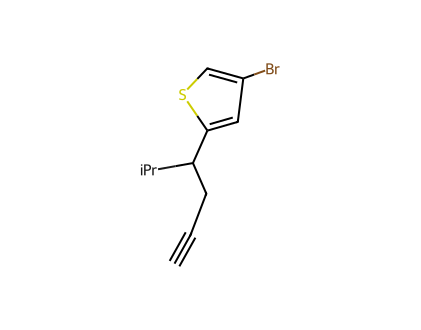 C#CCC(c1cc(Br)cs1)C(C)C